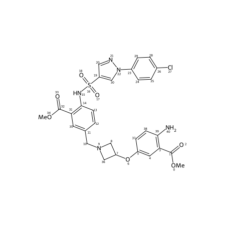 COC(=O)c1cc(OC2CN(Cc3ccc(NS(=O)(=O)c4cnn(-c5ccc(Cl)cc5)c4)c(C(=O)OC)c3)C2)ccc1N